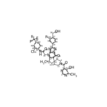 Cc1ncnc(C(=O)N2CCC3(CC2)CC(C)c2c3c(=O)n3nc(-c4ccc(CO)c(F)c4)nc3n2CC(=O)Nc2ccc(C(F)(F)F)cc2Cl)c1O